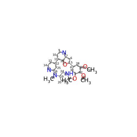 COc1cc(-c2cc3nccc(-c4ccnc(N(C)C5CCCNC5)c4)c3o2)cc(OC)c1OC